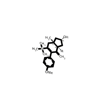 C=C1C(c2ccc(OC)cc2)=C([Si](C)(C)C)C[C@]2(C)C[C@H](O)C[C@@H]12